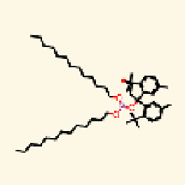 CCCCCCCCCCCCCOP(OCCCCCCCCCCCCC)OC(CCC)(c1cc(C)ccc1C(C)(C)C)c1cc(C)ccc1C(C)(C)C